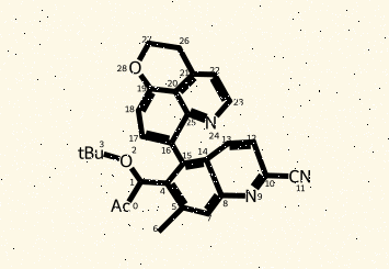 CC(=O)C(OC(C)(C)C)c1c(C)cc2nc(C#N)ccc2c1-c1ccc2c3c(ccnc13)CCO2